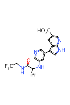 CC(C)C(Nc1cncc(-c2c[nH]c3ncc(C(=O)O)cc23)c1)C(=O)NCC(F)(F)F